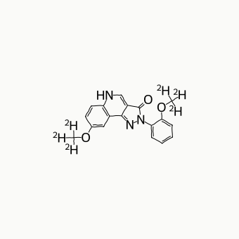 [2H]C([2H])([2H])Oc1ccc2[nH]cc3c(=O)n(-c4ccccc4OC([2H])([2H])[2H])nc-3c2c1